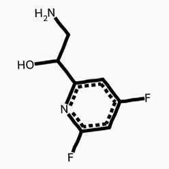 NCC(O)c1cc(F)cc(F)n1